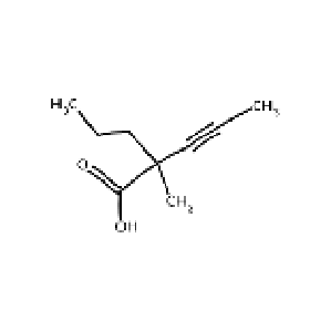 CC#CC(C)(CCC)C(=O)O